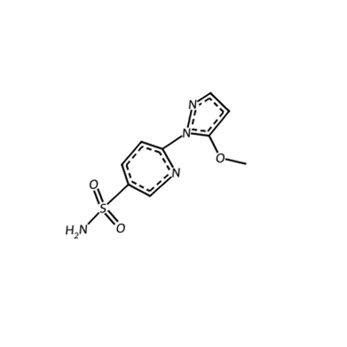 COc1ccnn1-c1ccc(S(N)(=O)=O)cn1